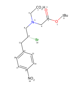 CC(C)(C)OC(=O)CN(CC(=O)O)C[C@H](Br)Cc1ccc([N+](=O)[O-])cc1